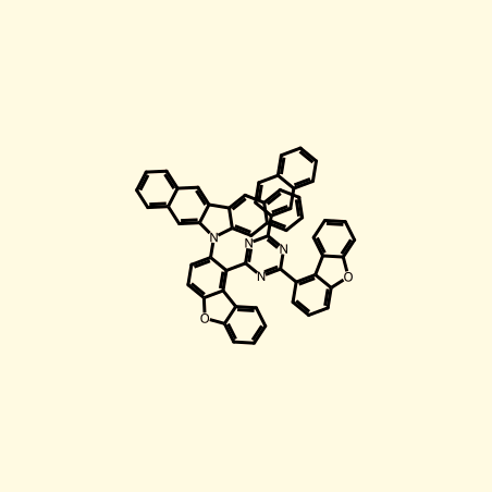 c1ccc2cc(-c3nc(-c4cccc5oc6ccccc6c45)nc(-c4c(-n5c6cc7ccccc7cc6c6cc7ccccc7cc65)ccc5oc6ccccc6c45)n3)ccc2c1